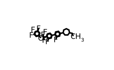 CCC1CCCC(c2ccc(-c3cc(F)c(C(F)(F)Oc4cc(F)c(F)c(F)c4)c(F)c3)c(F)c2)CC1